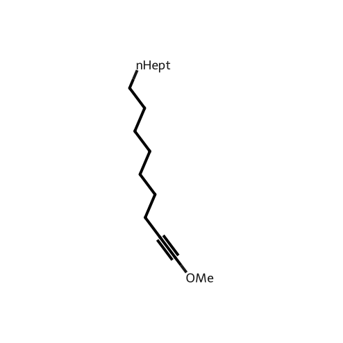 [CH2]OC#CCCCCCCCCCCCCCC